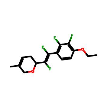 CCOc1ccc(/C(F)=C(\F)C2CC=C(C)CO2)c(F)c1F